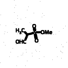 COS(=O)(=O)C(C)C=O